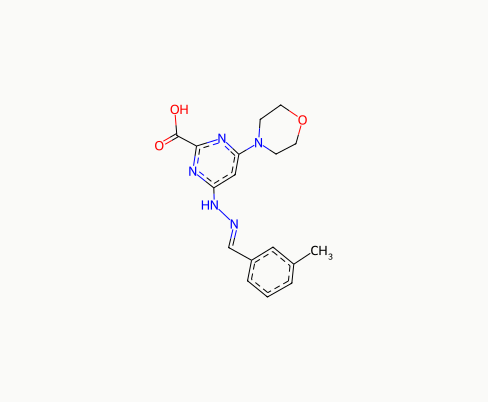 Cc1cccc(C=NNc2cc(N3CCOCC3)nc(C(=O)O)n2)c1